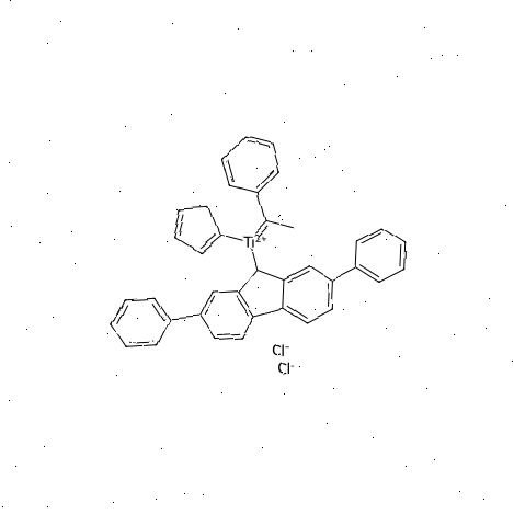 C/[C](c1ccccc1)=[Ti+2](/[C]1=CC=CC1)[CH]1c2cc(-c3ccccc3)ccc2-c2ccc(-c3ccccc3)cc21.[Cl-].[Cl-]